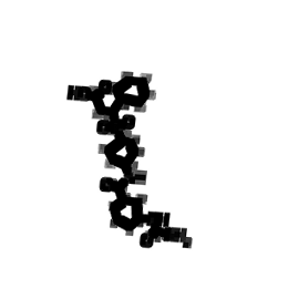 NC(=O)Nc1cccc(C(=O)Nc2ccc(S(=O)(=O)C(CC(=O)O)c3ccccc3)cc2)c1